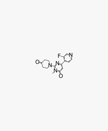 Cn1c(N2CCC(=O)CC2)nc(-c2ccncc2F)cc1=O